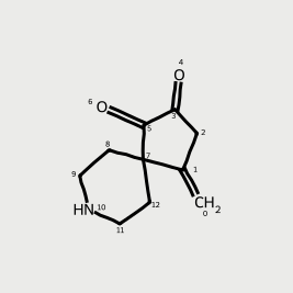 C=C1CC(=O)C(=O)C12CCNCC2